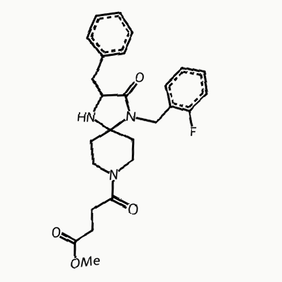 COC(=O)CCC(=O)N1CCC2(CC1)NC(Cc1ccccc1)C(=O)N2Cc1ccccc1F